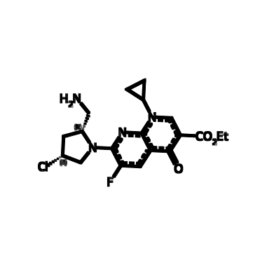 CCOC(=O)c1cn(C2CC2)c2nc(N3C[C@H](Cl)C[C@@H]3CN)c(F)cc2c1=O